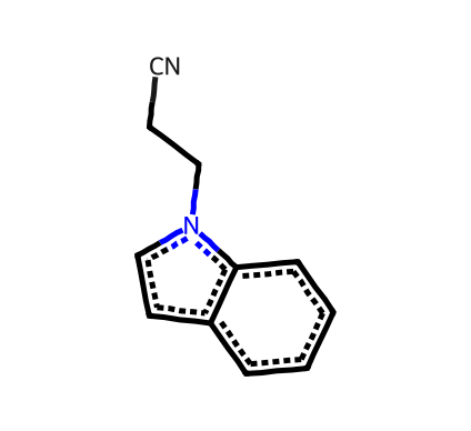 N#CCCn1ccc2ccccc21